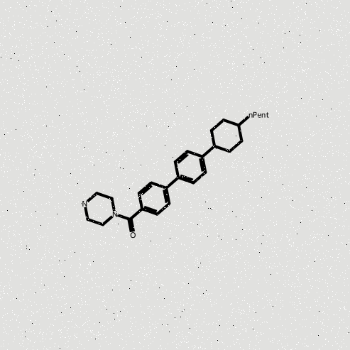 CCCCCC1CCC(c2ccc(-c3ccc(C(=O)N4CC[N]CC4)cc3)cc2)CC1